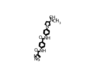 CN(C)C1CCN(c2ccc(NC(=O)c3ccc(NC(=O)c4csnn4)cc3)cc2)C1